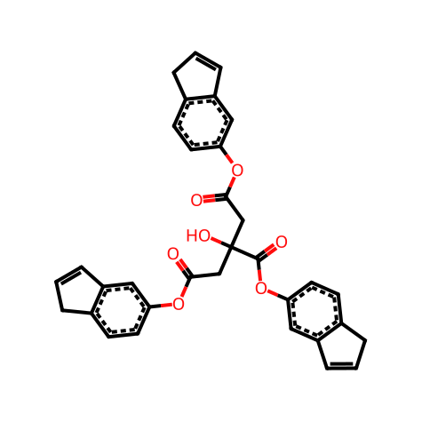 O=C(CC(O)(CC(=O)Oc1ccc2c(c1)C=CC2)C(=O)Oc1ccc2c(c1)C=CC2)Oc1ccc2c(c1)C=CC2